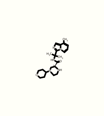 Cc1cccn2c(C(C)(C)NC(=O)[C@@H]3CN(C4CCOCC4)CCN3)ncc12